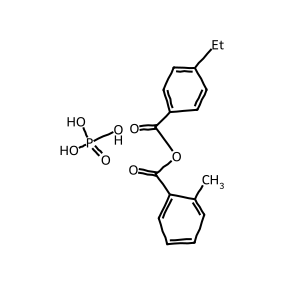 CCc1ccc(C(=O)OC(=O)c2ccccc2C)cc1.O=P(O)(O)O